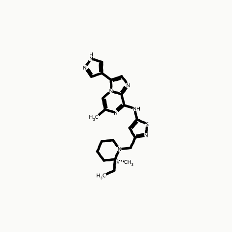 CC[C@@]1(C)CCCCN1Cc1cc(Nc2nc(C)cn3c(-c4cn[nH]c4)cnc23)sn1